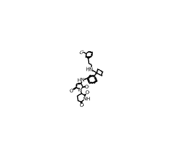 O=C1CCC(N2C(=O)C=C(Nc3cccc(C4(NCCc5cccc(Cl)c5)CCC4)c3)C2=O)C(=O)N1